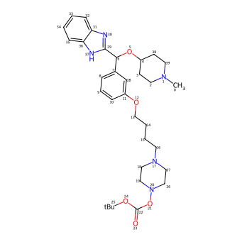 CN1CCC(OC(c2cccc(OCCCCN3CCN(OC(=O)OC(C)(C)C)CC3)c2)c2nc3ccccc3[nH]2)CC1